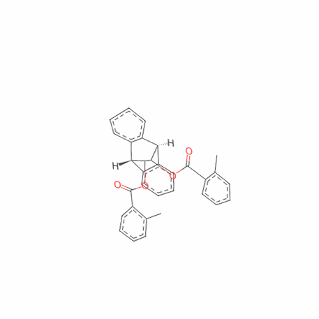 Cc1ccccc1C(=O)OC1C(OC(=O)c2ccccc2C)[C@H]2c3ccccc3[C@H]1c1ccccc12